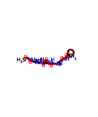 CC(C)(C)OC(=O)NC(CCC(=O)NCCCn1cc(CCC(=O)NCCC(=O)[SiH3])nn1)CCC(=O)NCCCn1cc(CCC(=O)NCCC(=O)[SiH2]C2CCCCCCCCCCC2)nn1